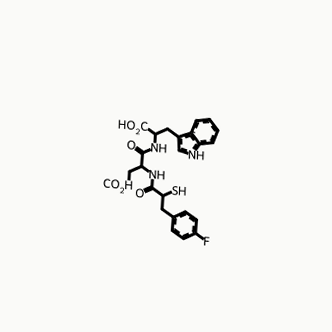 O=C(O)CC(NC(=O)C(S)Cc1ccc(F)cc1)C(=O)NC(Cc1c[nH]c2ccccc12)C(=O)O